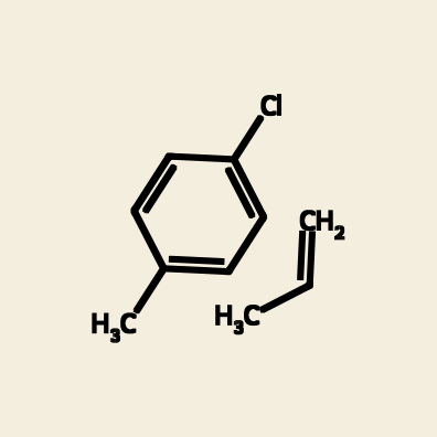 C=CC.Cc1ccc(Cl)cc1